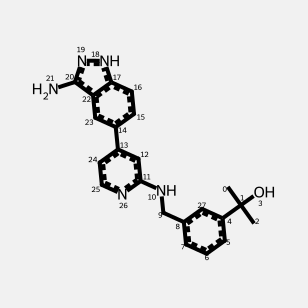 CC(C)(O)c1cccc(CNc2cc(-c3ccc4[nH]nc(N)c4c3)ccn2)c1